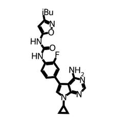 CCC(C)c1cc(NC(=O)Nc2ccc(-c3cn(C4CC4)c4ncnc(N)c34)cc2F)on1